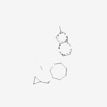 CC(C)(C)c1cc2nc([C@@H]3CCC[C@@H](CC4CC4)[C@H](CO)N3)cnc2o1